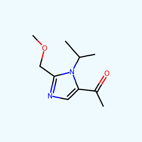 COCc1ncc(C(C)=O)n1C(C)C